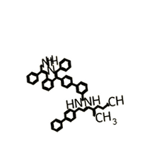 C#CCC/C(=C\C)C1=CC(c2ccc(-c3ccccc3)cc2)NC(c2cccc(-c3ccc(C4=C(c5ccccc5)N/C(=C(\C=N)c5ccccc5)c5ccccc54)cc3)c2)N1